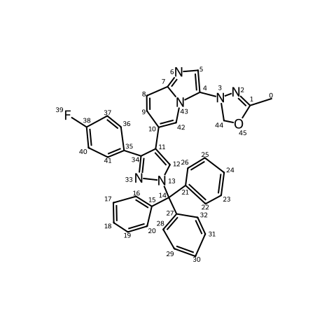 CC1=NN(c2cnc3ccc(-c4cn(C(c5ccccc5)(c5ccccc5)c5ccccc5)nc4-c4ccc(F)cc4)cn23)CO1